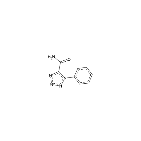 NC(=O)c1nnnn1-c1ccccc1